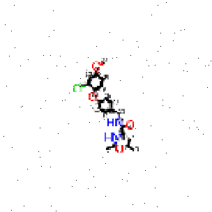 CCC[C@H](NC(C)=O)C(=O)NCc1ccc(Oc2ccc(OC)cc2Cl)cc1